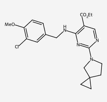 CCOC(=O)c1cnc(N2CCC3(CC3)C2)nc1NCc1ccc(OC)c(Cl)c1